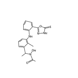 CC(=O)N(O)C(C)c1cccc(Nc2ccccc2-c2n[nH]c(=S)o2)c1C